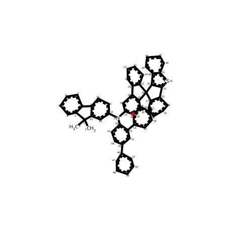 CC1(C)c2ccccc2-c2ccc(N(c3ccc4c(c3)-c3ccccc3C43c4ccccc4-c4sc5ccccc5c43)c3ccc(-c4ccccc4)cc3-c3ccccc3)cc21